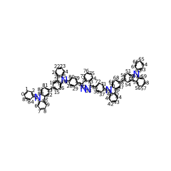 c1ccc(-n2c3ccccc3c3cc(-c4ccc5c(c4)c4ccccc4n5-c4ccc(-c5nnc(-c6ccc(-n7c8ccccc8c8cc(-c9ccc%10c(c9)c9ccccc9n%10-c9ccccc9)ccc87)cc6)c6ccccc56)cc4)ccc32)cc1